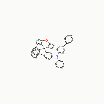 c1ccc(-c2ccc(N(c3ccccc3)c3ccc4c(c3)C3(c5ccccc5Oc5cccc(-c6ccccc6)c53)c3ccccc3-4)cc2)cc1